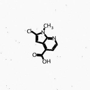 Cn1c(Cl)cc2c(C(=O)O)ccnc21